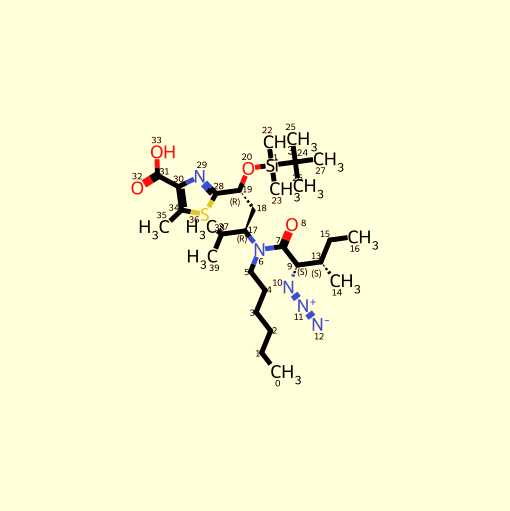 CCCCCCN(C(=O)[C@@H](N=[N+]=[N-])[C@@H](C)CC)[C@H](C[C@@H](O[Si](C)(C)C(C)(C)C)c1nc(C(=O)O)c(C)s1)C(C)C